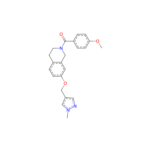 COc1ccc(C(=O)N2CCc3ccc(OCc4cnn(C)c4)cc3C2)cc1